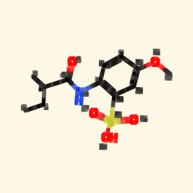 CCC(C)C(=O)Nc1ccc(OC)cc1S(=O)(=O)O